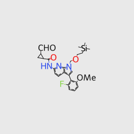 COc1cccc(F)c1-c1cn(COCC[Si](C)(C)C)c2nc(NC(=O)C3CC3C=O)ccc12